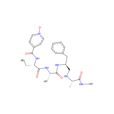 CCCNC(=O)[C@H](C)NC[C@H](Cc1ccccc1)NC(=O)[C@H](CCC)NC(=O)[C@H](CC(C)(C)C)NC(=O)c1cc[n+]([O-])cc1